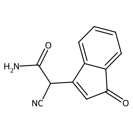 N#CC(C(N)=O)C1=CC(=O)c2ccccc21